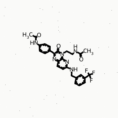 CC(=O)NCCn1c(=O)c(-c2ccc(NC(C)=O)cc2)nc2ccc(NCc3cccc(C(F)(F)F)c3)nc21